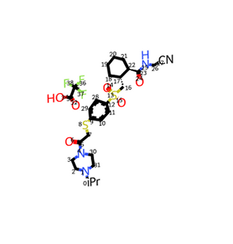 CC(C)N1CCN(C(=O)CSc2ccc(S(=O)(=O)C[C@@H]3CCCC[C@H]3C(=O)NCC#N)cc2)CC1.O=C(O)C(F)(F)F